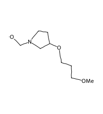 COCCCOC1CCN(C[O])C1